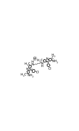 Cc1cc2nc3cc(C)c(NCCCCCCNc4cc5c(cc4C)nc4cc(C)c(N)cc4[n+]5-c4ccc(Cl)cc4)cc3[n+](-c3ccc(Cl)cc3)c2cc1N.[Cl-].[Cl-]